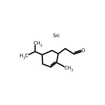 CC1=CCC(C(C)C)CC1CC=O.[Sn]